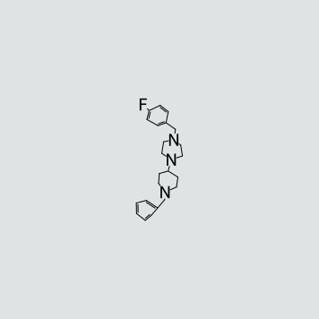 Fc1ccc(CN2CCN(C3CCN(Cc4ccccc4)CC3)CC2)cc1